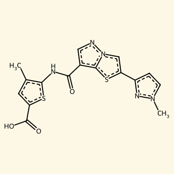 Cc1cc(C(=O)O)sc1NC(=O)c1cnn2cc(-c3ccn(C)n3)sc12